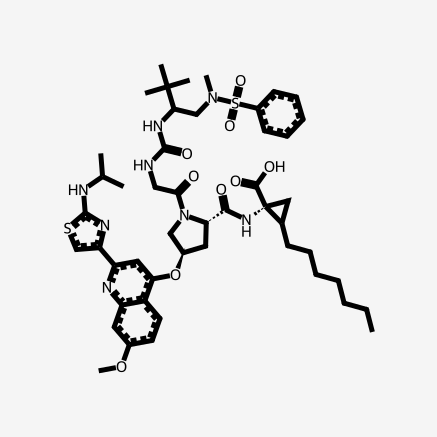 CCCCCCCC1C[C@]1(NC(=O)[C@@H]1C[C@@H](Oc2cc(-c3csc(NC(C)C)n3)nc3cc(OC)ccc23)CN1C(=O)CNC(=O)NC(CN(C)S(=O)(=O)c1ccccc1)C(C)(C)C)C(=O)O